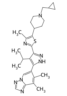 Cc1nc(-c2n[nH]c(-c3cn4ncnc4c(C)c3C)c2C(C)C)sc1C1CCN(CC2CC2)CC1